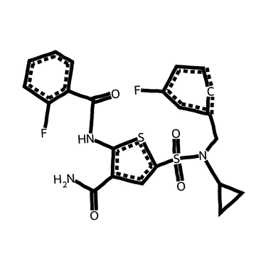 NC(=O)c1cc(S(=O)(=O)N(Cc2cccc(F)c2)C2CC2)sc1NC(=O)c1ccccc1F